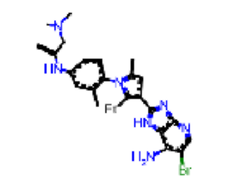 C=C(CN(C)C)Nc1ccc(-n2c(C)cc(-c3nc4ncc(Br)c(N)c4[nH]3)c2CC)c(C)c1